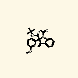 C=C1c2ccccc2N(C(C)=O)C1(C(=O)NC(C)(C)C)c1cccc(OC)n1